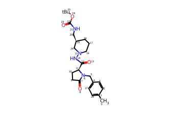 Cc1ccc(CN2C(=O)CC[C@H]2C(=O)NN2CCC[C@H](CNC(=O)OC(C)(C)C)C2)cc1